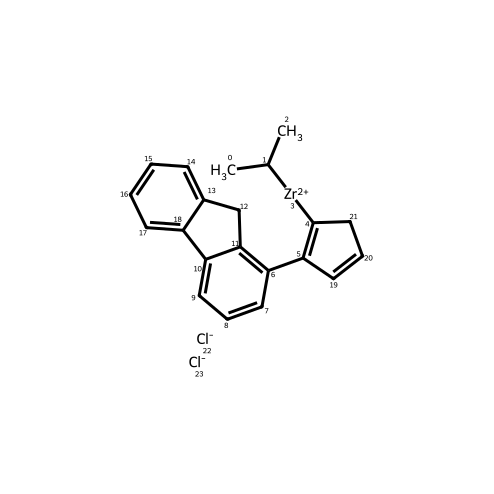 C[CH](C)[Zr+2][C]1=C(c2cccc3c2Cc2ccccc2-3)C=CC1.[Cl-].[Cl-]